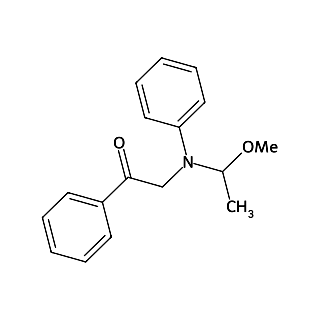 COC(C)N(CC(=O)c1ccccc1)c1ccccc1